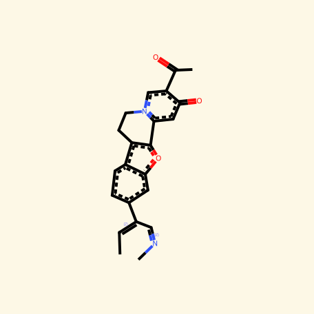 C/C=C(\C=N/C)c1ccc2c3c(oc2c1)-c1cc(=O)c(C(C)=O)cn1CC3